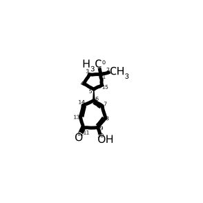 CC1(C)CC[C@H](c2ccc(O)c(=O)cc2)C1